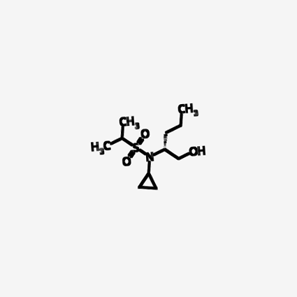 CCC[C@H](CO)N(C1CC1)S(=O)(=O)C(C)C